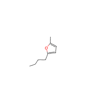 CCCCc1ccc(C)o1